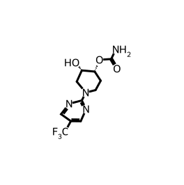 NC(=O)O[C@@H]1CCN(c2ncc(C(F)(F)F)cn2)C[C@@H]1O